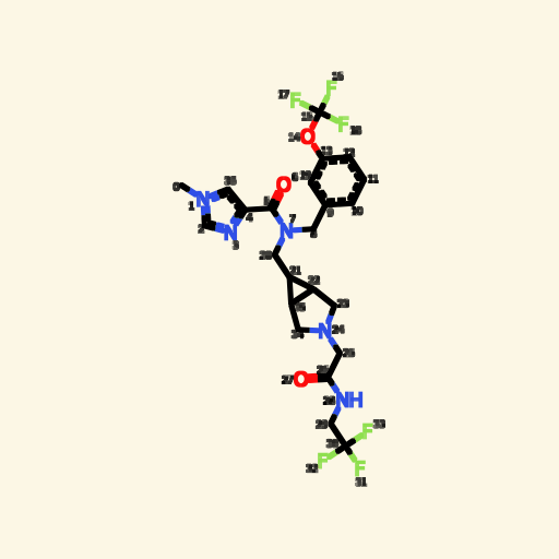 Cn1cnc(C(=O)N(Cc2cccc(OC(F)(F)F)c2)CC2C3CN(CC(=O)NCC(F)(F)F)CC32)c1